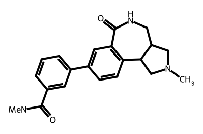 CNC(=O)c1cccc(-c2ccc3c(c2)C(=O)NCC2CN(C)CC32)c1